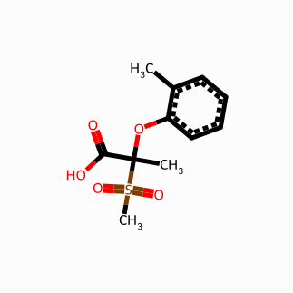 Cc1ccccc1OC(C)(C(=O)O)S(C)(=O)=O